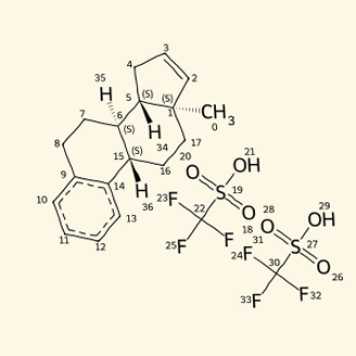 C[C@@]12C=CC[C@H]1[C@@H]1CCc3ccccc3[C@H]1CC2.O=S(=O)(O)C(F)(F)F.O=S(=O)(O)C(F)(F)F